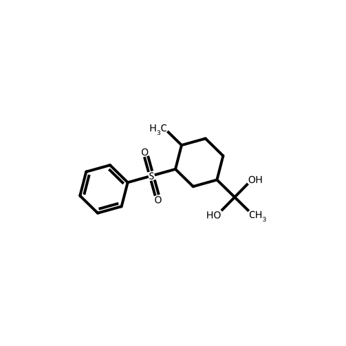 CC1CCC(C(C)(O)O)CC1S(=O)(=O)c1ccccc1